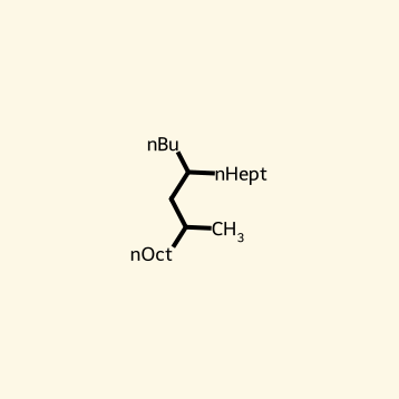 CCCCCCCCC(C)CC(CCCC)CCCCCCC